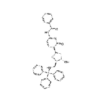 O=C(Nc1ccn([C@H]2C[C@H](O)[C@@H](CNC(c3ccccc3)(c3ccccc3)c3ccccc3)O2)c(=O)n1)c1ccccc1